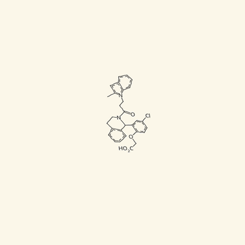 Cc1cc2ccccc2n1CCC(=O)N1CCc2ccccc2C1c1cc(Cl)ccc1OCC(=O)O